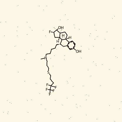 CN(CCCCC[C@@H]1Cc2cc(O)ccc2[C@H]2CC[C@@]3(C)[C@@H](C[C@@H](F)[C@@]3(C)O)[C@H]12)CCCSCCCC(F)(F)C(F)(F)F